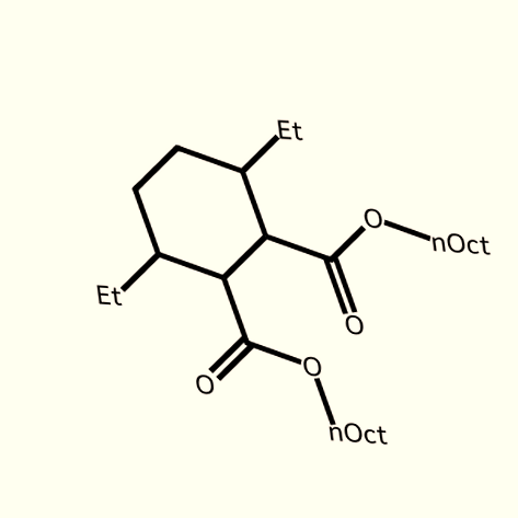 CCCCCCCCOC(=O)C1C(CC)CCC(CC)C1C(=O)OCCCCCCCC